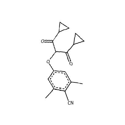 Cc1cc(OC(C(=O)C2CC2)C(=O)C2CC2)cc(C)c1C#N